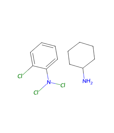 Clc1ccccc1N(Cl)Cl.NC1CCCCC1